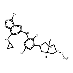 N#Cc1cc(Nc2nc(NC3CC3)c3ncc(C#N)n3n2)c(Cl)c(N2C[C@H]3C[C@H](NC(=O)O)C[C@H]3C2)c1